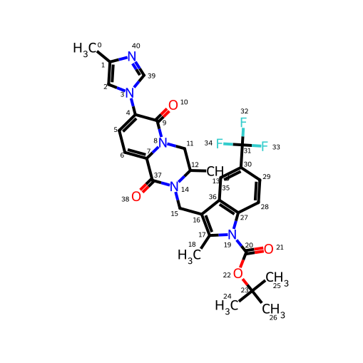 Cc1cn(-c2ccc3n(c2=O)CC(C)N(Cc2c(C)n(C(=O)OC(C)(C)C)c4ccc(C(F)(F)F)cc24)C3=O)cn1